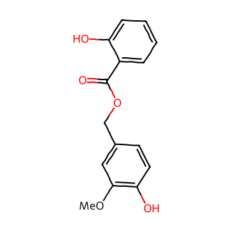 COc1cc(COC(=O)c2ccccc2O)ccc1O